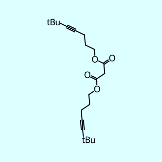 CC(C)(C)C#CCCCOC(=O)CC(=O)OCCCC#CC(C)(C)C